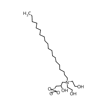 CCCCCCCCCCCCCCCCCCCC[N+](CCO)(CCO)CC(O)CS(=O)(=O)[O-]